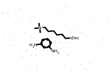 CCCCCCCCCCCCCCCC[N+](C)(C)C.Nc1cccc(N)c1